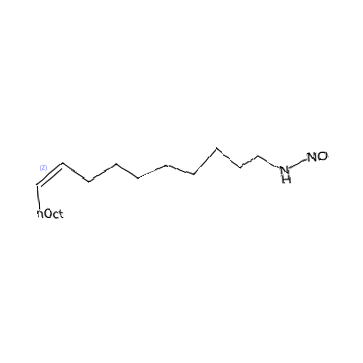 CCCCCCCC/C=C\CCCCCCCCNN=O